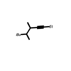 [CH2]CC#CC(C)C(C)C(C)C[CH2]